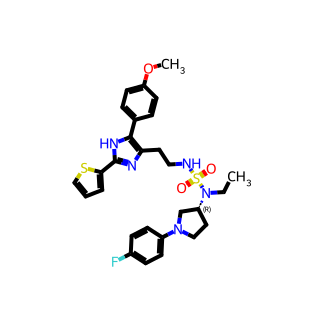 CCN([C@@H]1CCN(c2ccc(F)cc2)C1)S(=O)(=O)NCCc1nc(-c2cccs2)[nH]c1-c1ccc(OC)cc1